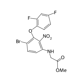 COC(=O)CNc1ccc(Br)c(Oc2ccc(F)cc2F)c1[N+](=O)[O-]